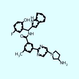 Cc1cc(C(=O)N[C@@H](c2cc3ccccc3[nH]2)c2cc(F)ccc2O)cc(-c2ncc(N3CCC(N)C3)cn2)c1